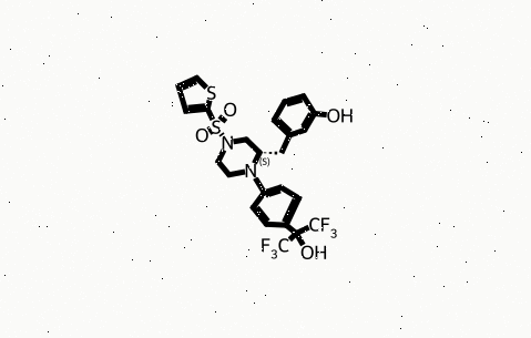 O=S(=O)(c1cccs1)N1CCN(c2ccc(C(O)(C(F)(F)F)C(F)(F)F)cc2)[C@@H](Cc2cccc(O)c2)C1